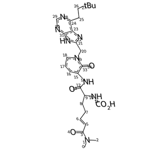 CN(C)C(=O)C=CCCC(NC(=O)O)C(=O)Nc1cccn(Cc2nc3c(CCC(C)(C)C)ncnc3[nH]2)c1=O